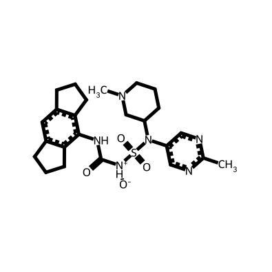 Cc1ncc(N(C2CCCN(C)C2)S(=O)(=O)[NH+]([O-])C(=O)Nc2c3c(cc4c2CCC4)CCC3)cn1